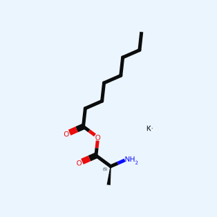 CCCCCCCC(=O)OC(=O)[C@H](C)N.[K]